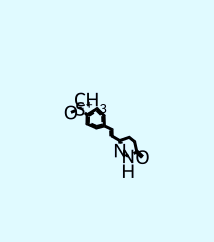 C[S+]([O-])c1ccc(C=CC2=NNC(=O)CC2)cc1